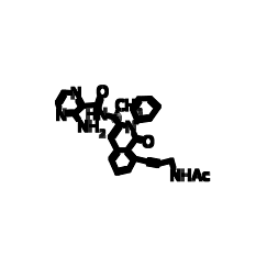 CC(=O)NCC#Cc1cccc2cc([C@@H](C)NC(=O)c3nccnc3N)n(-c3ccccc3)c(=O)c12